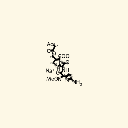 CO/N=C(\C(=O)NC1C(=O)N2C(C(=O)[O-])=C(COC(=O)CC(C)=O)CS[C@H]12)c1csc(N)n1.[Na+]